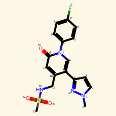 Cn1ccc(-c2cn(-c3ccc(F)cc3)c(=O)cc2CNS(C)(=O)=O)n1